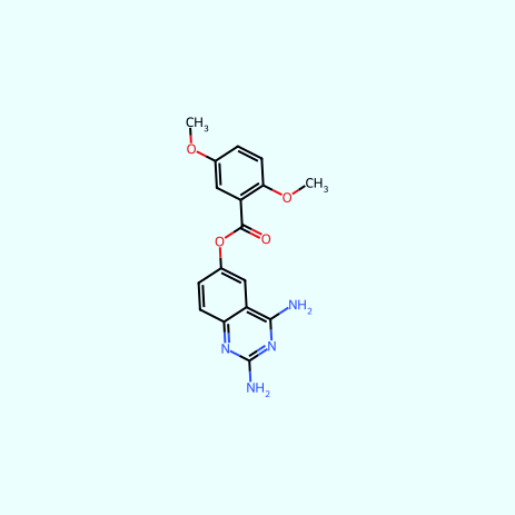 COc1ccc(OC)c(C(=O)Oc2ccc3nc(N)nc(N)c3c2)c1